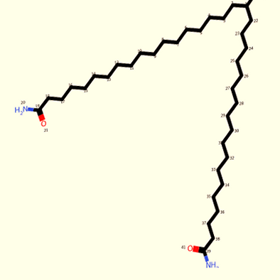 CC(CCCCCCCCCCCCCCCCCC(N)=O)CCCCCCCCCCCCCCCCCC(N)=O